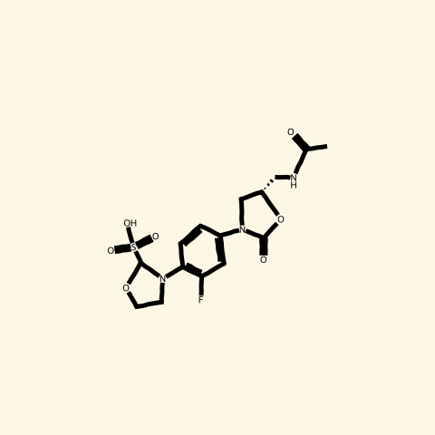 CC(=O)NC[C@H]1CN(c2ccc(N3CCOC3S(=O)(=O)O)c(F)c2)C(=O)O1